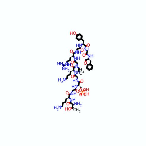 C=C(O)[C@H](N)C(=O)N[C@@H](CCCCN)C(=O)NCC(=O)N[C@@H](COP(=O)(O)O)C(=O)NCC(=O)N[C@@H](CCCCN)C(=O)N(CCC)CC(=O)N[C@@H](CCCNC(=N)N)C(=O)NCC(=O)N[C@@H](Cc1ccc(O)cc1)C(=O)NCC(=O)N[C@H](C=O)Cc1ccccc1